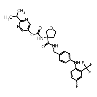 CC(C)c1ncc(OC(=O)N[C@@]2(C(=O)NCc3ccc(Nc4ccc(F)cc4C(F)(F)F)cc3)CCOC2)cn1